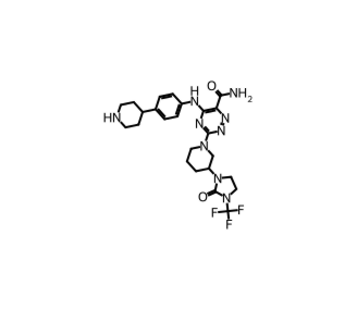 NC(=O)c1nnc(N2CCCC(N3CCN(C(F)(F)F)C3=O)C2)nc1Nc1ccc(C2CCNCC2)cc1